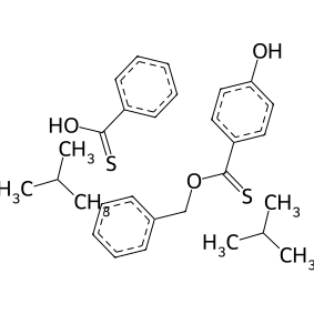 CC(C)C.CC(C)C.OC(=S)c1ccccc1.Oc1ccc(C(=S)OCc2ccccc2)cc1